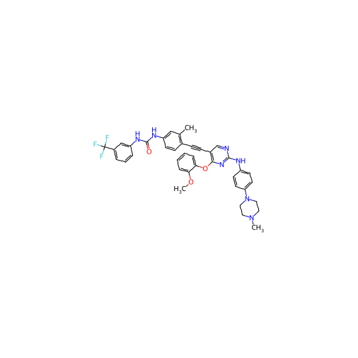 COc1ccccc1Oc1nc(Nc2ccc(N3CCN(C)CC3)cc2)ncc1C#Cc1ccc(NC(=O)Nc2cccc(C(F)(F)F)c2)cc1C